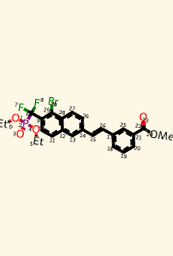 CCOP(=O)(OCC)C(F)(F)c1ccc2cc(/C=C/c3cccc(C(=O)OC)c3)ccc2c1Br